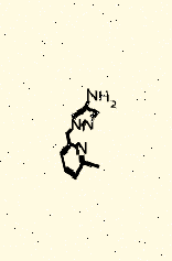 Cc1cccc(Cn2cc(N)cn2)n1